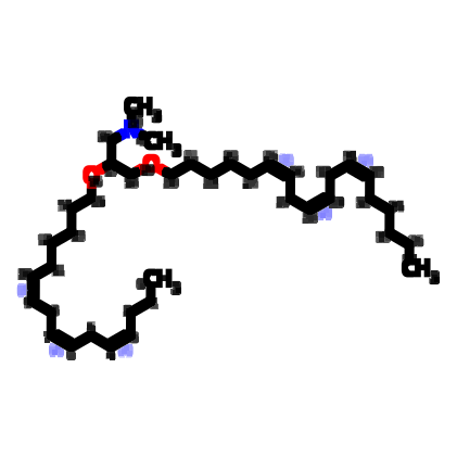 CCC/C=C\C/C=C\C/C=C\CCCCCOC(COCCCCC/C=C\C/C=C\C/C=C\CCCCC)CN(C)C